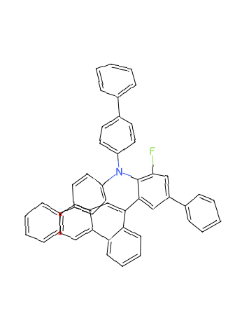 Fc1cc(-c2ccccc2)cc(-c2cc3ccccc3c3ccccc23)c1N(c1ccc(-c2ccccc2)cc1)c1ccc(-c2ccccc2)cc1